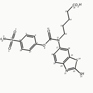 NS(=O)(=O)c1ccc(OC(=O)N(CCCCC(=O)O)c2ccc3nc(S)sc3c2)cc1